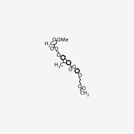 C=CC(=O)OCCCCOc1ccc(OC(=O)c2ccc3c(c2)C(C)c2cc(OCCOC(=O)C(=C)CC(=O)OC)ccc2-3)cc1